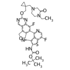 CCN1CCN(CC2(COc3ncc4c5c(c(-c6ncc(F)c7sc(NC(=O)OC(C)(C)C)c(C#N)c67)c(F)c4n3)COC5)CC2)CC1=O